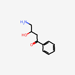 NCC(O)CC(=O)c1ccccc1